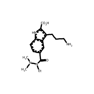 CCN(C(=O)c1ccc2[nH]c(C(=O)O)c(CCCN)c2c1)N(C)C